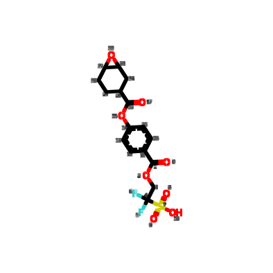 O=C(OCC(F)(F)S(=O)(=O)O)c1ccc(OC(=O)C2CCC3OC3C2)cc1